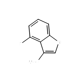 COc1c[nH]c2cccc(F)c12